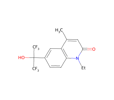 CCn1c(=O)cc(C)c2cc(C(O)(C(F)(F)F)C(F)(F)F)ccc21